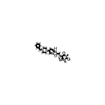 Cn1c(=O)c2c(ncn2CC(=O)Nc2ccc(N3CCN(Cc4ccccc4)CC3)cn2)n(C)c1=O